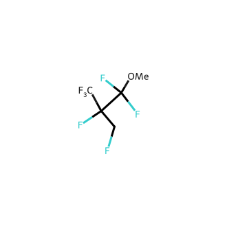 COC(F)(F)C(F)(CF)C(F)(F)F